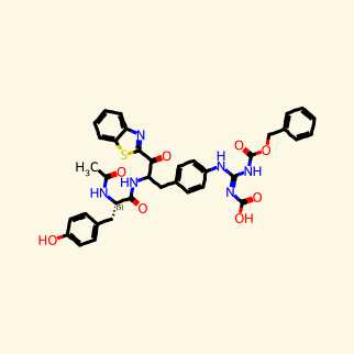 CC(=O)N[C@@H](Cc1ccc(O)cc1)C(=O)NC(Cc1ccc(NC(=NC(=O)O)NC(=O)OCc2ccccc2)cc1)C(=O)c1nc2ccccc2s1